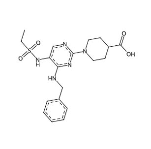 CCS(=O)(=O)Nc1cnc(N2CCC(C(=O)O)CC2)nc1NCc1ccccc1